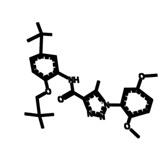 COc1ccc(OC)c(-n2nnc(C(=O)Nc3cc(C(C)(C)C)ccc3OCC(C)(C)C)c2C)c1